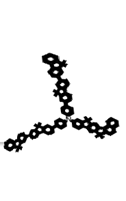 CC1(C)c2ccccc2-c2ccc(-c3ccc4c(c3)C(C)(C)c3cc(-c5ccc(N(c6ccc(-c7ccc8c(c7)C(C)(C)c7cc(-c9ccc%10c(c9)C(C)(C)c9ccccc9-%10)ccc7-8)cc6)c6ccc7c(c6)C(C)(C)c6cc8c(cc6-7)C(C)(C)c6ccc7ccccc7c6-8)cc5)ccc3-4)cc21